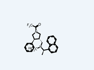 C[C@H](c1cccc2ccccc12)N(C[C@H]1CN(C(=O)C(F)(F)F)C[C@@H]1c1ccccc1)C(=O)O